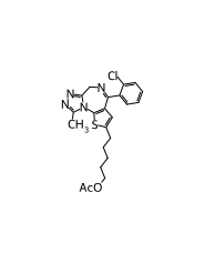 CC(=O)OCCCCCc1cc2c(s1)-n1c(C)nnc1CN=C2c1ccccc1Cl